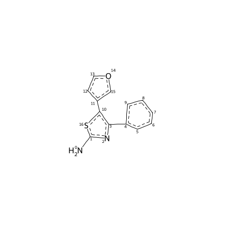 Nc1nc(-c2ccccc2)c(-c2ccoc2)s1